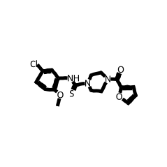 COc1ccc(Cl)cc1NC(=S)N1CCN(C(=O)c2ccco2)CC1